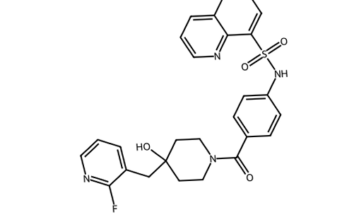 O=C(c1ccc(NS(=O)(=O)c2cccc3cccnc23)cc1)N1CCC(O)(Cc2cccnc2F)CC1